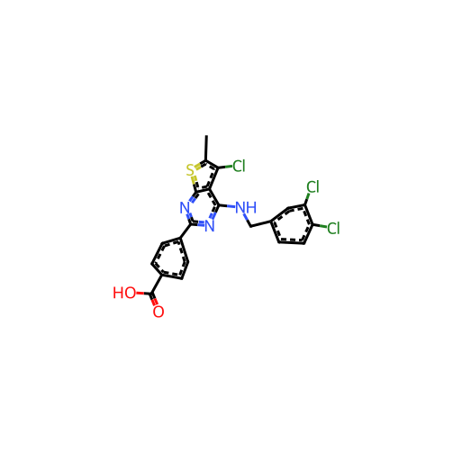 Cc1sc2nc(-c3ccc(C(=O)O)cc3)nc(NCc3ccc(Cl)c(Cl)c3)c2c1Cl